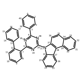 c1ccc(-c2nc(-c3ccccc3-c3ccccc3)nc(-n3c4ccccc4c4c5ccccc5ccc43)n2)cc1